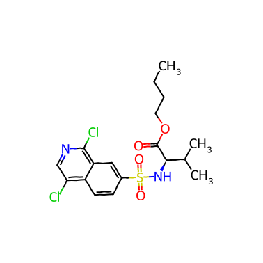 CCCCOC(=O)[C@H](NS(=O)(=O)c1ccc2c(Cl)cnc(Cl)c2c1)C(C)C